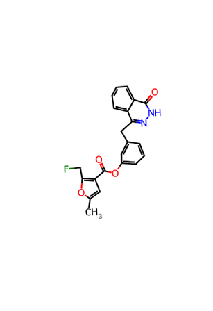 Cc1cc(C(=O)Oc2cccc(Cc3n[nH]c(=O)c4ccccc34)c2)c(CF)o1